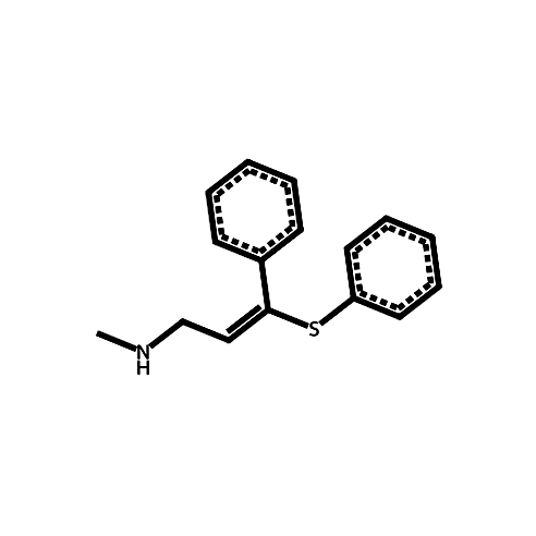 CNCC=C(Sc1ccccc1)c1ccccc1